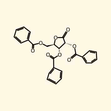 O=C(OC[C@H]1OC(=O)[C@H](OC(=O)c2ccccc2)[C@@H]1OC(=O)c1ccccc1)c1ccccc1